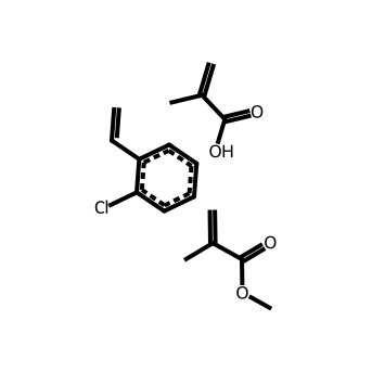 C=C(C)C(=O)O.C=C(C)C(=O)OC.C=Cc1ccccc1Cl